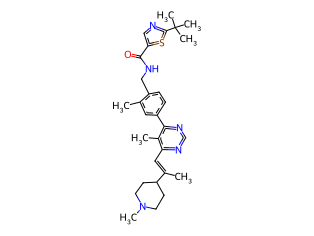 C/C(=C\c1ncnc(-c2ccc(CNC(=O)c3cnc(C(C)(C)C)s3)c(C)c2)c1C)C1CCN(C)CC1